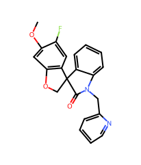 COc1cc2c(cc1F)C1(CO2)C(=O)N(Cc2ccccn2)c2ccccc21